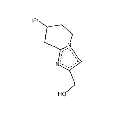 CC(C)C1CCn2cc(CO)nc2C1